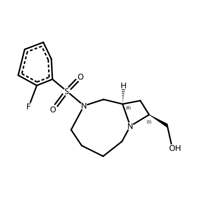 O=S(=O)(c1ccccc1F)N1CCCCN2[C@H](CO)C[C@@H]2C1